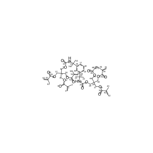 C=C(C)C(=O)OCC(COC(=O)NC(C)(C)c1cccc(C(C)(C)NC(=O)OCC(COC(=O)C(=C)C)(COC(=O)C(=C)C)COC(=O)C(C)C)c1)(COC(=O)C(=C)C)COC(=O)C(=C)C